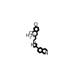 N[C@H](CCn1cc(-c2ccc3cnccc3c2)cn1)Cc1ccc(Cl)cc1Cl